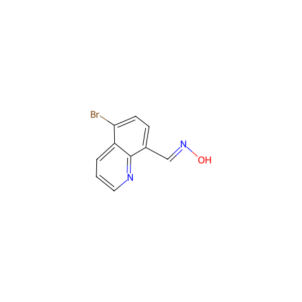 ON=Cc1ccc(Br)c2cccnc12